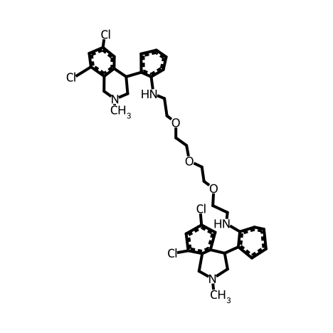 CN1Cc2c(Cl)cc(Cl)cc2C(c2ccccc2NCCOCCOCCOCCNc2ccccc2C2CN(C)Cc3c(Cl)cc(Cl)cc32)C1